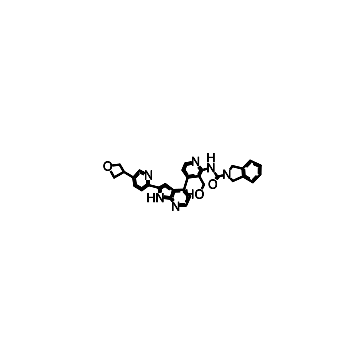 O=C(Nc1nccc(-c2ccnc3[nH]c(-c4ccc(C5COC5)cn4)cc23)c1CO)N1Cc2ccccc2C1